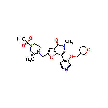 C[C@@H]1CN(S(C)(=O)=O)CCN1Cc1cc2c(=O)n(C)cc(-c3ccncc3OCC3CCOC3)c2o1